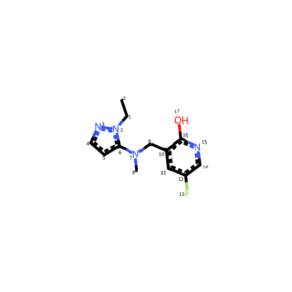 CCn1nccc1N(C)Cc1cc(F)cnc1O